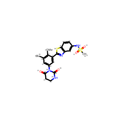 COc1c(-c2nc3cc(NS(C)(=O)=O)ccc3s2)cc(N2C(=O)CCNC2=O)cc1C(C)(C)C